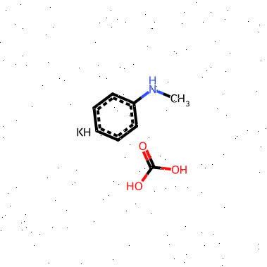 CNc1ccccc1.O=C(O)O.[KH]